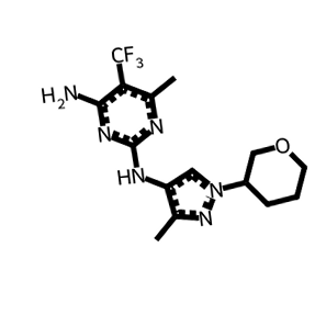 Cc1nn(C2CCCOC2)cc1Nc1nc(C)c(C(F)(F)F)c(N)n1